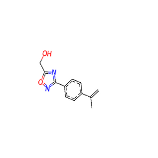 C=C(C)c1ccc(-c2noc(CO)n2)cc1